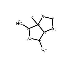 CC12SCSC1C(O)OC2O